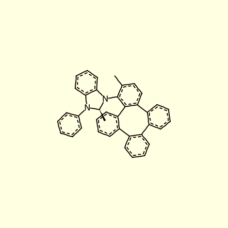 Cc1ccc2c(c1N1c3ccccc3N(c3ccccc3)[C@@H]1C)-c1ccccc1-c1ccccc1-c1ccccc1-2